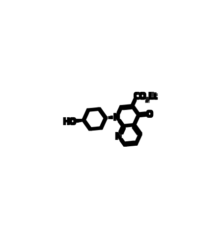 CCOC(=O)c1cn([C@H]2CC[C@H](O)CC2)c2ncccc2c1=O